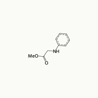 [CH2]OC(=O)CNc1ccccc1